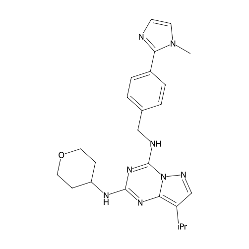 CC(C)c1cnn2c(NCc3ccc(-c4nccn4C)cc3)nc(NC3CCOCC3)nc12